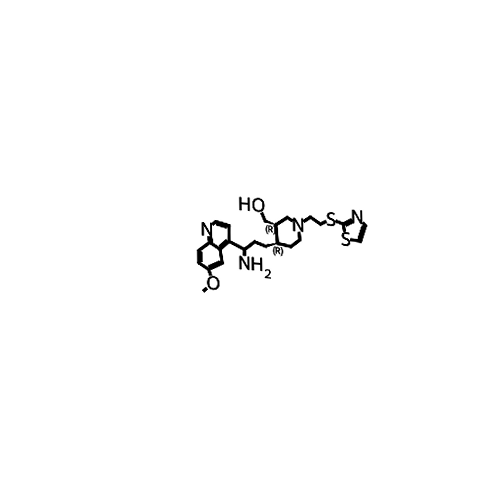 COc1ccc2nccc(C(N)CC[C@@H]3CCN(CCSc4nccs4)C[C@@H]3CO)c2c1